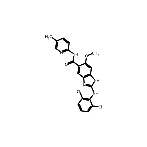 COc1cc2[nH]c(Nc3c(Cl)cccc3Cl)nc2cc1C(=O)Nc1ccc(C)cn1